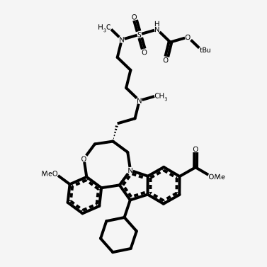 COC(=O)c1ccc2c(C3CCCCC3)c3n(c2c1)C[C@@H](CCN(C)CCCN(C)S(=O)(=O)NC(=O)OC(C)(C)C)COc1c(OC)cccc1-3